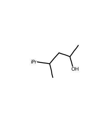 CC(O)CC(C)C(C)C